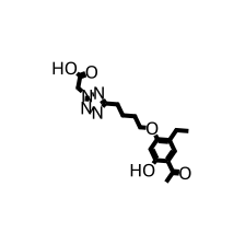 CCc1cc(C(C)=O)c(O)cc1OCCCCc1nnn(CC(=O)O)n1